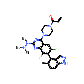 C=CC(=O)N1CCN(c2nc(N(CC)N(CC)CC)nc3c(F)c(-c4c(C)ccc5[nH]ncc45)c(Cl)cc23)CC1